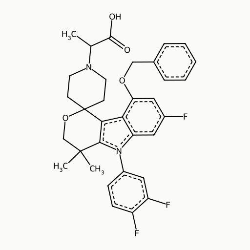 CC(C(=O)O)N1CCC2(CC1)OCC(C)(C)c1c2c2c(OCc3ccccc3)cc(F)cc2n1-c1ccc(F)c(F)c1